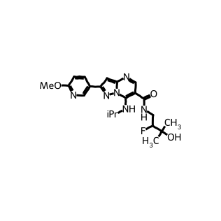 COc1ccc(-c2cc3ncc(C(=O)NCC(F)C(C)(C)O)c(NC(C)C)n3n2)cn1